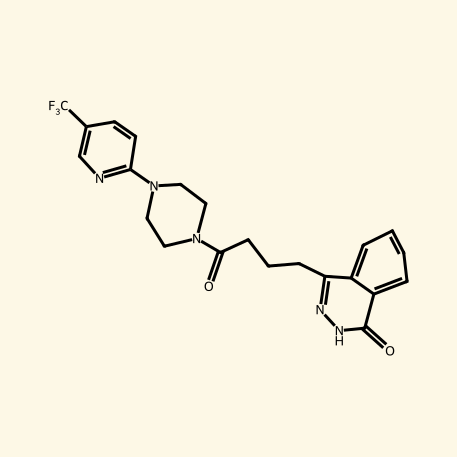 O=C(CCCc1n[nH]c(=O)c2ccccc12)N1CCN(c2ccc(C(F)(F)F)cn2)CC1